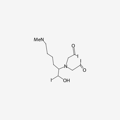 CNCCCCC(C(O)I)N(CC(=O)I)CC(=O)I